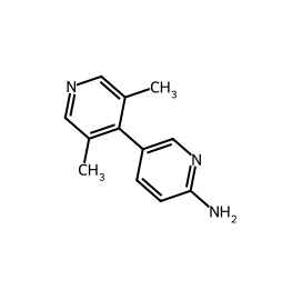 Cc1cncc(C)c1-c1ccc(N)nc1